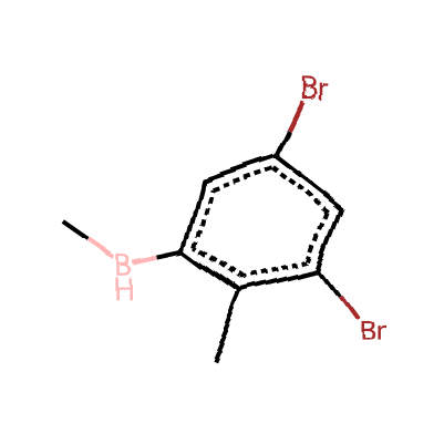 CBc1cc(Br)cc(Br)c1C